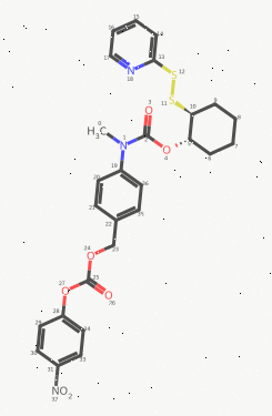 CN(C(=O)O[C@H]1CCCC[C@@H]1SSc1ccccn1)c1ccc(COC(=O)Oc2ccc([N+](=O)[O-])cc2)cc1